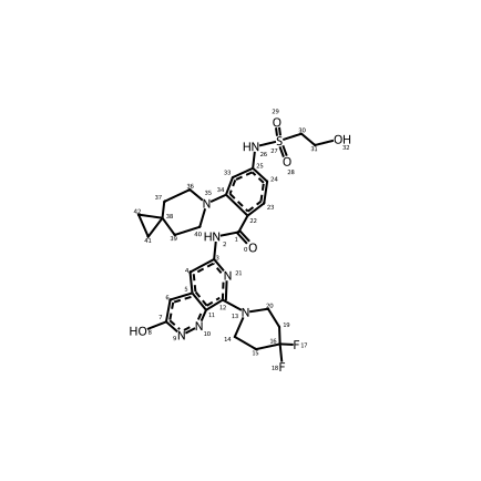 O=C(Nc1cc2cc(O)nnc2c(N2CCC(F)(F)CC2)n1)c1ccc(NS(=O)(=O)CCO)cc1N1CCC2(CC1)CC2